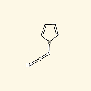 N=C=Nn1cccc1